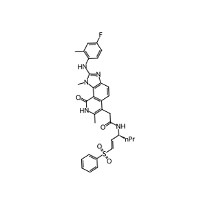 CCC[C@@H](C=CS(=O)(=O)c1ccccc1)NC(=O)Cc1c(C)[nH]c(=O)c2c1ccc1nc(Nc3ccc(F)cc3C)n(C)c12